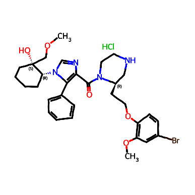 COC[C@]1(O)CCCC[C@H]1n1cnc(C(=O)N2CCNC[C@H]2CCOc2ccc(Br)cc2OC)c1-c1ccccc1.Cl